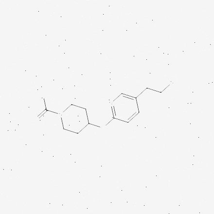 NCCc1ccc(OC2CCN(C(=O)O)CC2)nc1